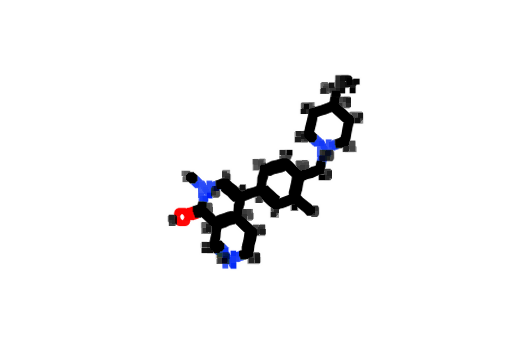 Cc1cc(-c2cn(C)c(=O)c3cnccc23)ccc1CN1CCC(C(C)C)CC1